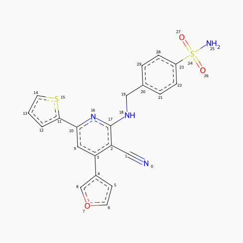 N#Cc1c(-c2ccoc2)cc(-c2cccs2)nc1NCc1ccc(S(N)(=O)=O)cc1